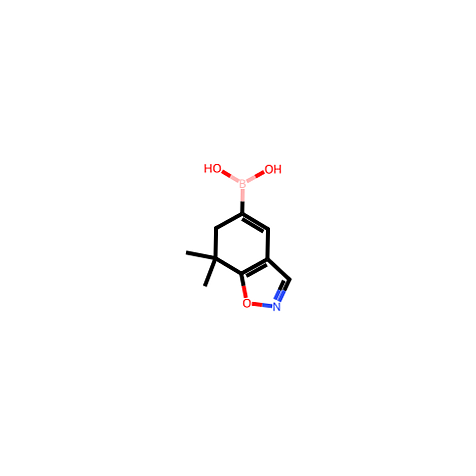 CC1(C)CC(B(O)O)=Cc2cnoc21